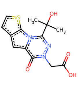 CC(C)(O)c1nn(CC(=O)O)c(=O)c2cc3ccsc3n12